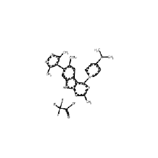 COc1cc2c(cc1-c1c(C)noc1C)[nH]c1nc(C)nc(-[n+]3ccc(N(C)C)cc3)c12.O=C([O-])C(F)(F)F